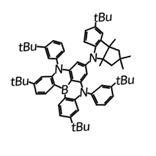 CC1(C)CC2(C)c3cc(C(C)(C)C)ccc3N(c3cc4c5c(c3)N(c3cccc(C(C)(C)C)c3)c3cc(C(C)(C)C)ccc3B5c3ccc(C(C)(C)C)cc3N4c3cccc(C(C)(C)C)c3)C2(C)C1